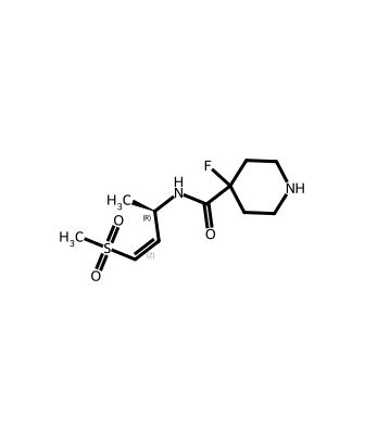 C[C@H](/C=C\S(C)(=O)=O)NC(=O)C1(F)CCNCC1